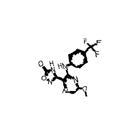 COc1cnc(-c2noc(=O)[nH]2)c(Nc2ccc(C(F)(F)F)cc2)n1